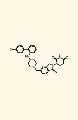 O=C1CCN(N2Cc3cc(CN4CCC(Nc5ccccc5-c5ccc(Cl)cc5)CC4)ccc3C2=O)C(=O)N1